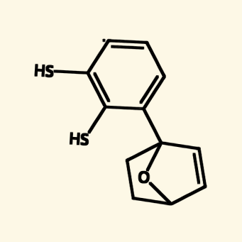 Sc1[c]ccc(C23C=CC(CC2)O3)c1S